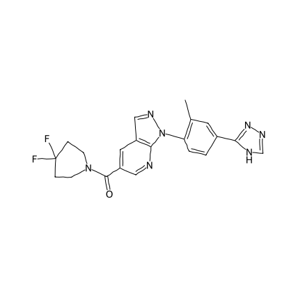 Cc1cc(-c2nnc[nH]2)ccc1-n1ncc2cc(C(=O)N3CCC(F)(F)CC3)cnc21